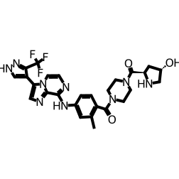 Cc1cc(Nc2nccn3c(-c4c[nH]nc4C(F)(F)F)cnc23)ccc1C(=O)N1CCN(C(=O)[C@H]2C[C@H](O)CN2)CC1